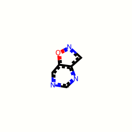 [c]1ncc2oncc2n1